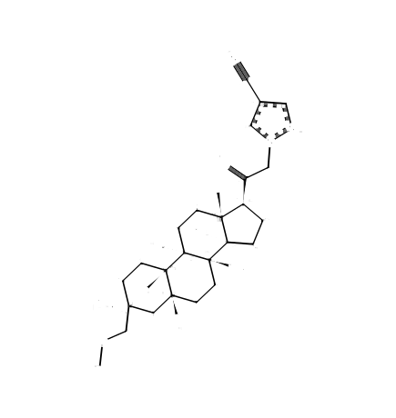 COC[C@@]1(O)CC[C@@]2(C)[C@H](CC[C@@H]3[C@@H]2CC[C@]2(C)[C@@H](C(=O)Cn4cc(C#N)cn4)CC[C@@H]32)C1